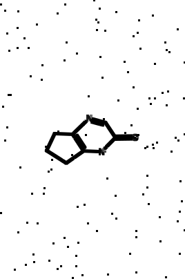 O=C1C=NC2=C(CCC2)[N]1